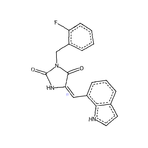 O=C1N/C(=C/c2cccc3cc[nH]c23)C(=O)N1Cc1ccccc1F